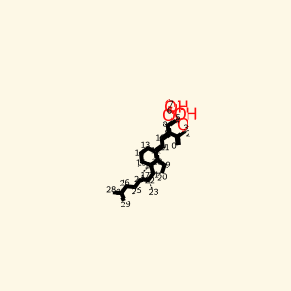 C=C1CO[C@](O)(OO)C/C1=C/C=C1CCC[C@@]2(C)C1CC[C@@H]2[C@H](C)CCCC(C)C